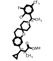 COC(=O)[C@H](C)[C@H](c1ccc2c(c1)OC1(CC2)CCN([C@H](C)c2cc(C(F)(F)F)cc(F)c2Cl)CC1)C1CC1